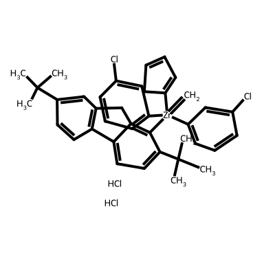 Cl.Cl.[CH2]=[Zr]([C]1=CC=CC1)([c]1cccc(Cl)c1)([c]1cccc(Cl)c1)[c]1c(C(C)(C)C)ccc2c1Cc1cc(C(C)(C)C)ccc1-2